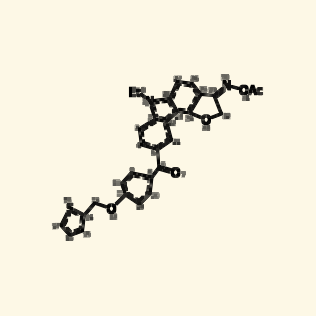 CCn1c2ccc(C(=O)c3ccc(OCc4cccs4)cc3)cc2c2c3c(ccc21)/C(=N/OC(C)=O)CO3